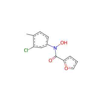 Cc1ccc(N(O)C(=O)c2ccco2)cc1Cl